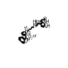 O=C(CCCCNC[C@H](O)c1ccc(O)c2[nH]c(=O)ccc12)Nc1cccc(C(O)(C(=O)O)c2ccccc2)c1